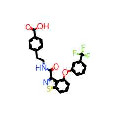 O=C(O)c1ccc(CCNC(=O)c2nsc3cccc(Oc4cccc(C(F)(F)F)c4)c23)cc1